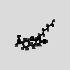 CCCCCCCN1C(=O)/C(=C\c2ccc(N(C)C)cc2)CC1=S